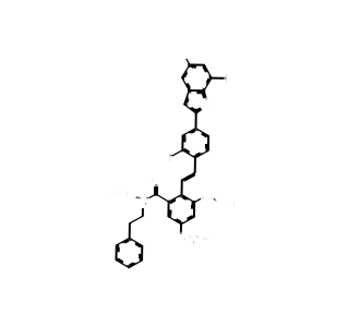 CCCOc1cc(OC)cc(C(=O)N(C)CCc2ccccc2)c1C=Cc1ccc(-c2cc3cc(F)cc(I)c3o2)cc1I